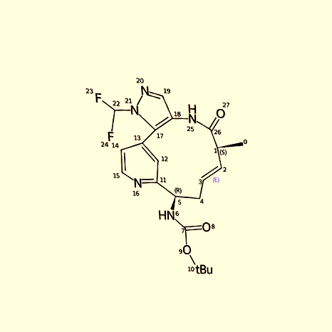 C[C@H]1/C=C/C[C@@H](NC(=O)OC(C)(C)C)c2cc(ccn2)-c2c(cnn2C(F)F)NC1=O